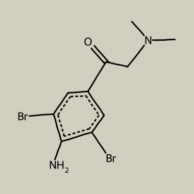 CN(C)CC(=O)c1cc(Br)c(N)c(Br)c1